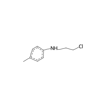 Cc1ccc(NCCCCl)cc1